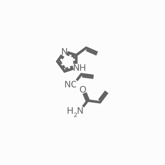 C=CC#N.C=CC(N)=O.C=Cc1ncc[nH]1